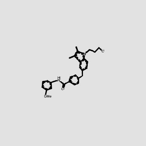 COc1cccc(NC(=O)c2ccc(Cc3ccc4c(c3)c(C)c(C)n4CCCCl)cc2)c1